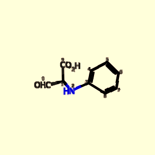 O=C[C@H](Nc1ccccc1)C(=O)O